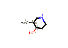 CO[C@H]1CNCC[C@H]1O